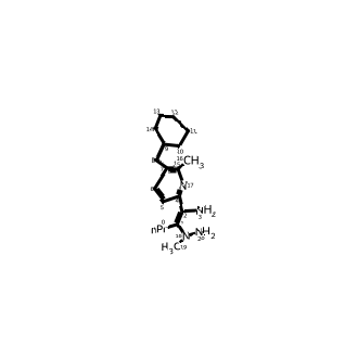 CCC/C(=C(/N)c1ccc(CC2CCCCC2)c(C)n1)N(C)N